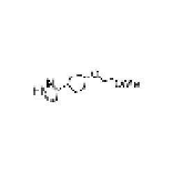 COCCOC1CCC(c2cc[nH]n2)CC1